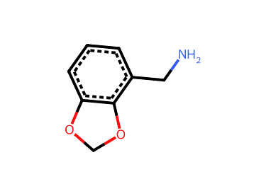 NCc1cccc2c1OCO2